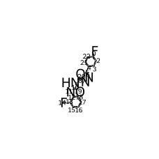 Fc1ccc(-c2nnc(Nc3nc4c(F)cccc4o3)o2)cc1